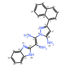 N/C(=C(/N)n1nc(-c2cccc3ccccc23)cc1N)c1nc2ccccc2[nH]1